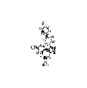 Fc1ccc(N2CCC(c3nnc4n3-c3ccc(Cl)cc3CN(C3CC3)C4)CC2)nc1